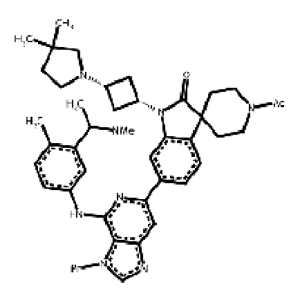 CNC(C)c1cc(Nc2nc(-c3ccc4c(c3)N([C@H]3C[C@@H](N5CCC(C)(C)C5)C3)C(=O)C43CCN(C(C)=O)CC3)cc3ncn(C(C)C)c23)ccc1C